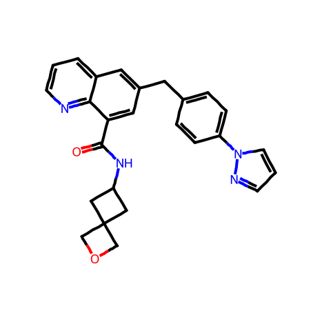 O=C(NC1CC2(COC2)C1)c1cc(Cc2ccc(-n3cccn3)cc2)cc2cccnc12